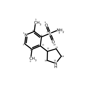 Cc1cnc(C)c(S(N)(=O)=O)c1C1CCNC1